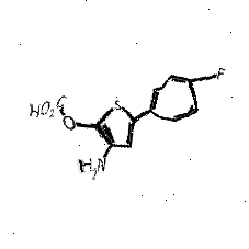 Nc1cc(-c2ccc(F)cc2)sc1OC(=O)O